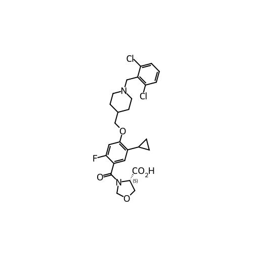 O=C(O)[C@@H]1COCN1C(=O)c1cc(C2CC2)c(OCC2CCN(Cc3c(Cl)cccc3Cl)CC2)cc1F